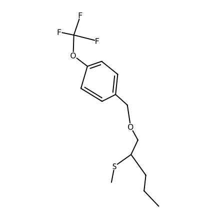 CCCC(COCc1ccc(OC(F)(F)F)cc1)SC